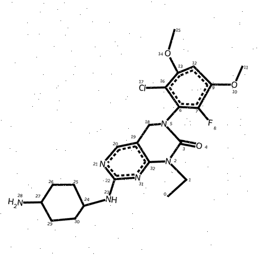 CCN1C(=O)N(c2c(F)c(OC)cc(OC)c2Cl)Cc2cnc(NC3CCC(N)CC3)nc21